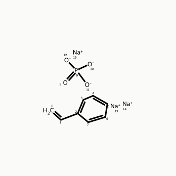 C=Cc1ccccc1.O=P([O-])([O-])[O-].[Na+].[Na+].[Na+]